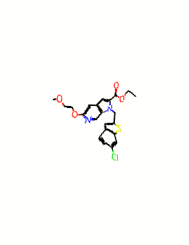 CCOC(=O)c1cc2cc(OCCOC)ncc2n1Cc1cc2ccc(Cl)cc2s1